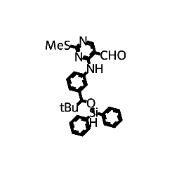 CSc1ncc(C=O)c(Nc2cccc(C(O[SiH](c3ccccc3)c3ccccc3)C(C)(C)C)c2)n1